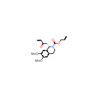 C=CCOC(=O)N1CCc2cc(OC)c(OC)cc2[C@@H]1CC(=O)C=C